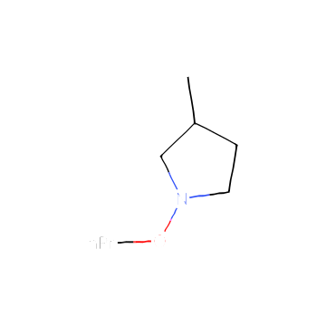 CCCON1CCC(C)C1